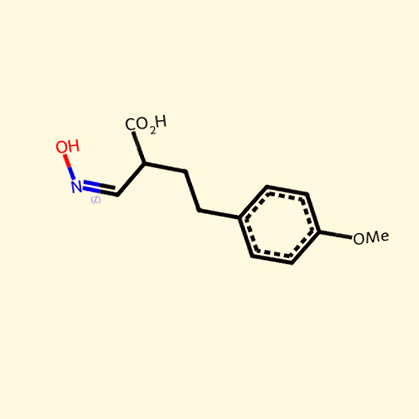 COc1ccc(CCC(/C=N\O)C(=O)O)cc1